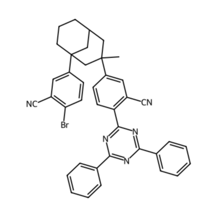 CC1(c2ccc(-c3nc(-c4ccccc4)nc(-c4ccccc4)n3)c(C#N)c2)CC2CCCC(c3ccc(Br)c(C#N)c3)(C2)C1